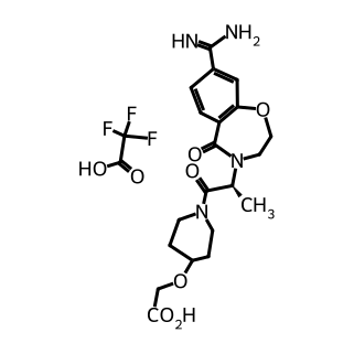 C[C@@H](C(=O)N1CCC(OCC(=O)O)CC1)N1CCOc2cc(C(=N)N)ccc2C1=O.O=C(O)C(F)(F)F